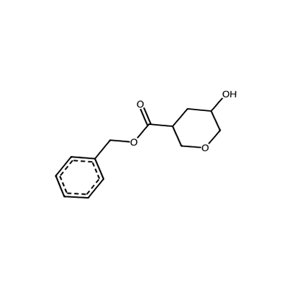 O=C(OCc1ccccc1)C1COCC(O)C1